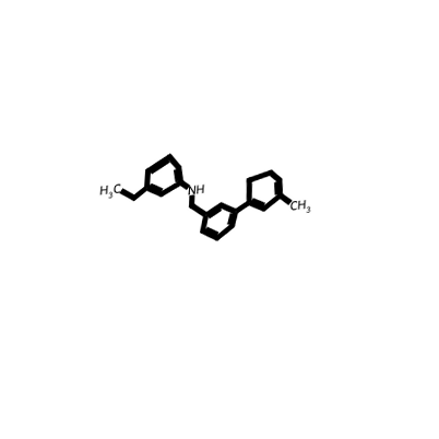 CCc1cccc(NCc2cccc(C3=CC(C)=CCC3)c2)c1